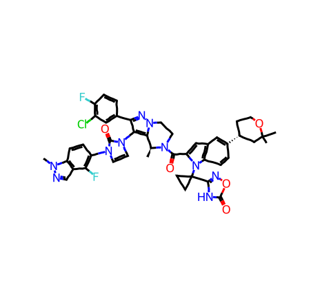 C[C@H]1c2c(-n3ccn(-c4ccc5c(cnn5C)c4F)c3=O)c(-c3ccc(F)c(Cl)c3)nn2CCN1C(=O)c1cc2cc([C@@H]3CCOC(C)(C)C3)ccc2n1C1(c2noc(=O)[nH]2)CC1